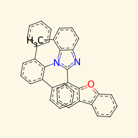 Cc1cccc2nc(-c3cccc4c3oc3ccccc34)n(-c3c(-c4ccccc4)cccc3-c3ccccc3)c12